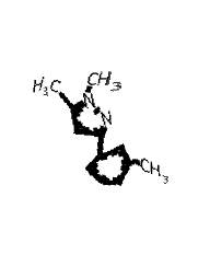 Cc1cccc(-c2cc(C)n(C)n2)c1